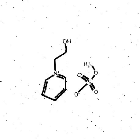 COS(=O)(=O)[O-].OCC[n+]1ccccc1